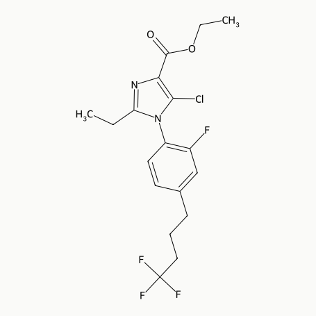 CCOC(=O)c1nc(CC)n(-c2ccc(CCCC(F)(F)F)cc2F)c1Cl